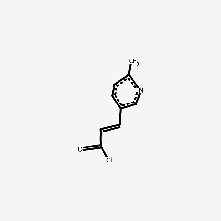 O=C(Cl)C=Cc1ccc(C(F)(F)F)nc1